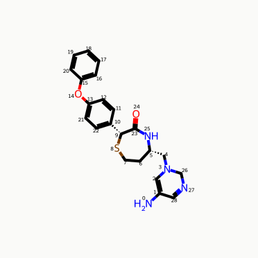 NC1=CN(C[C@@H]2CCS[C@H](c3ccc(Oc4ccccc4)cc3)C(=O)N2)CN=C1